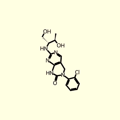 C[C@@H](O)[C@@H](CO)Nc1ncc2c(n1)NC(=O)N(c1ccccc1Cl)C2